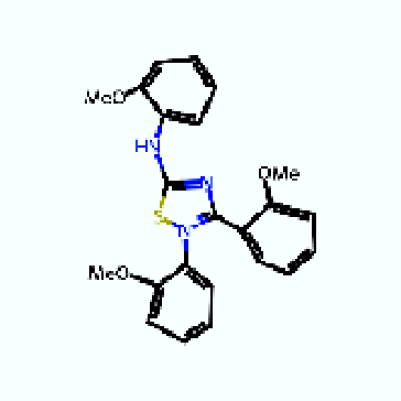 COc1ccccc1Nc1nc(-c2ccccc2OC)[n+](-c2ccccc2OC)s1